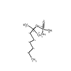 CCCCCCC(C)(C)OP(=O)(O)O